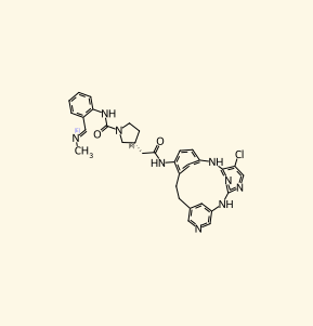 C/N=C/c1ccccc1NC(=O)N1CC[C@H](CC(=O)Nc2ccc3cc2CCc2cncc(c2)Nc2ncc(Cl)c(n2)N3)C1